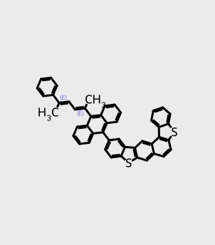 C/C(=C\C=C(/C)c1c2ccccc2c(-c2ccc3sc4cc5ccc6sc7ccccc7c6c5cc4c3c2)c2ccccc12)c1ccccc1